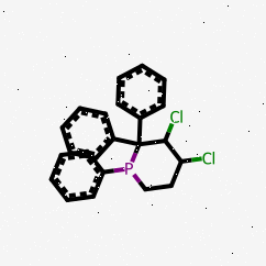 ClC1CCP(c2ccccc2)C(c2ccccc2)(c2ccccc2)C1Cl